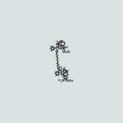 CNCC(=O)N[C@H]1CCS[C@H]2CC(C)(C)C(C(=O)N[C@H](COCCCCCCCCCCOC[C@@H](NC(=O)[C@H]3N4C(=O)CC(C[C@H](NC)C(N)=O)CS[C@H]4CC3(C)C)c3ccccc3)c3ccccc3)N2C1=O